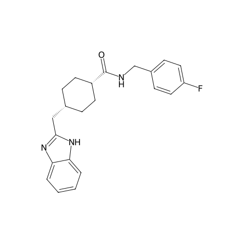 O=C(NCc1ccc(F)cc1)[C@H]1CC[C@@H](Cc2nc3ccccc3[nH]2)CC1